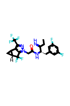 CCC(=N)[C@H](Cc1cc(F)cc(F)c1)NC(=O)Cn1nc(C(F)(F)F)c2c1C(F)(F)[C@@H]1CC21